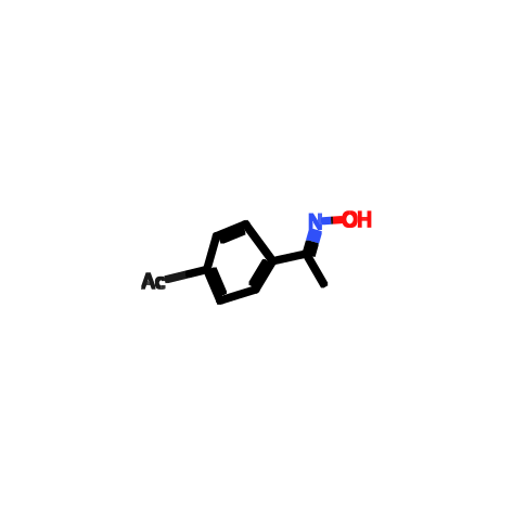 CC(=O)c1ccc(C(C)=NO)cc1